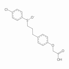 O=C(O)COc1ccc(CCC[S+]([O-])c2ccc(Cl)cc2)cc1